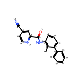 Cc1c(NC(=O)c2cc(C#N)ccn2)cccc1-c1ccccc1